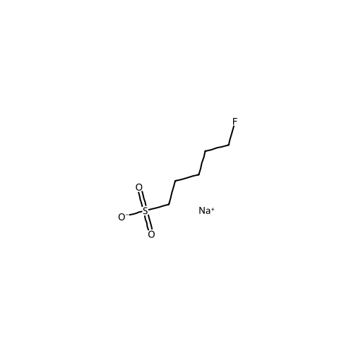 O=S(=O)([O-])CCCCCF.[Na+]